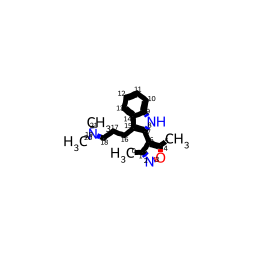 Cc1noc(C)c1-c1[nH]c2ccccc2c1CCCN(C)C